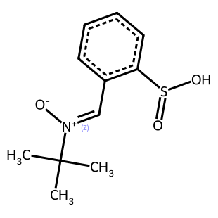 CC(C)(C)/[N+]([O-])=C/c1ccccc1S(=O)O